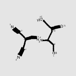 C=C(C#N)C#N.NC(CO)C(=O)O